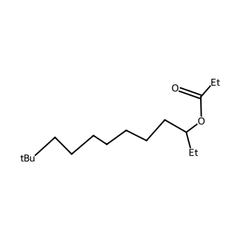 CCC(=O)OC(CC)CCCCCCCC(C)(C)C